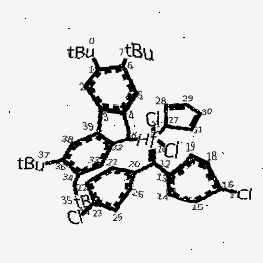 CC(C)(C)c1cc2c(cc1C(C)(C)C)[CH]([Hf]([Cl])([Cl])(=[C](c1ccc(Cl)cc1)c1ccc(Cl)cc1)[CH]1C=CC=C1)c1cc(C(C)(C)C)c(C(C)(C)C)cc1-2